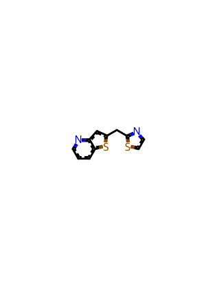 c1cnc2cc(Cc3nccs3)sc2c1